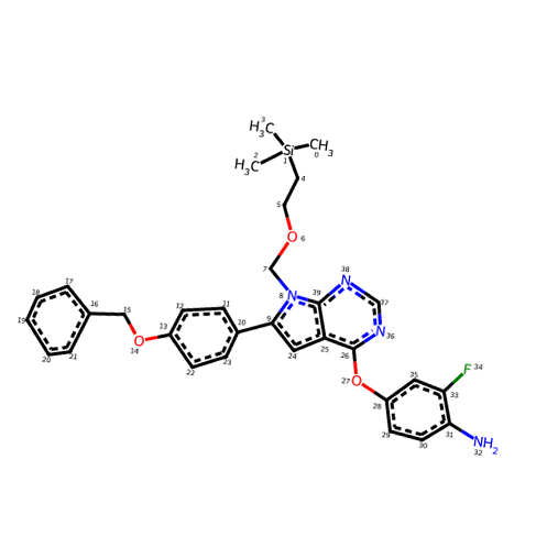 C[Si](C)(C)CCOCn1c(-c2ccc(OCc3ccccc3)cc2)cc2c(Oc3ccc(N)c(F)c3)ncnc21